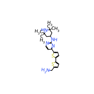 CC1(C)CC(Nc2nccc(-c3ccc(-c4ccc(CN)s4)s3)n2)CC(C)(C)N1